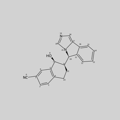 N#Cc1ccc2c(c1)[C@@H](O)[C@@H]([C@@H]1c3ccccc3-c3cncn31)CC2